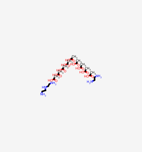 CC(=O)O.CC(=O)O.CC(=O)O.CC(=O)O.CC(=O)O.CC(=O)O.CC(=O)O.CC(=O)O.CC(=O)O.NCCN.NCCNCCN